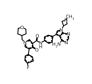 CN1CC(n2cc(-c3ccc(NC(=O)c4cn(CC5CCOCC5)cc(-c5ccc(F)cc5)c4=O)cc3)c3c(N)ncnc32)C1